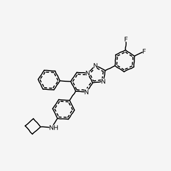 Fc1ccc(-c2nc3nc(-c4ccc(NC5CCC5)cc4)c(-c4ccccc4)cn3n2)cc1F